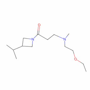 CCOCCN(C)CCC(=O)N1CC(C(C)C)C1